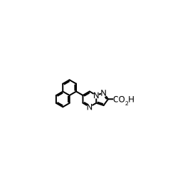 O=C(O)c1cc2ncc(-c3cccc4ccccc34)cn2n1